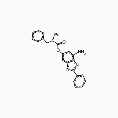 CC(C)N(Cc1ccccc1)C(=O)Oc1cc(N)n2nc(-c3ccccn3)nc2c1